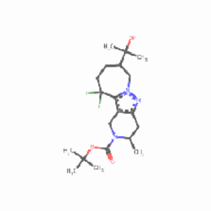 CC1Cc2nn3c(c2CN1C(=O)OC(C)(C)C)C(F)(F)CCC(C(C)(C)O)C3